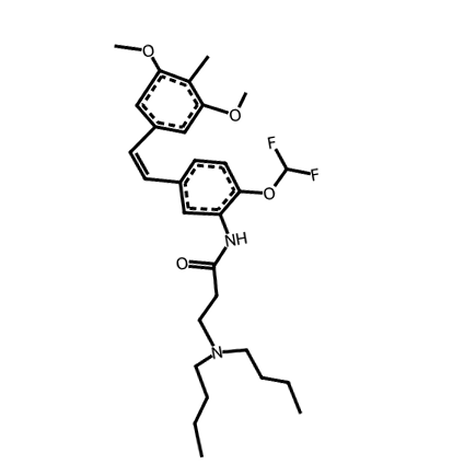 CCCCN(CCCC)CCC(=O)Nc1cc(/C=C\c2cc(OC)c(C)c(OC)c2)ccc1OC(F)F